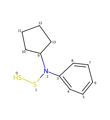 SSN(c1ccccc1)C1CCCC1